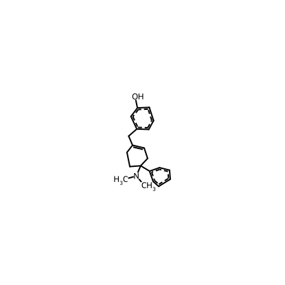 CN(C)C1(c2ccccc2)CC=C(Cc2cccc(O)c2)CC1